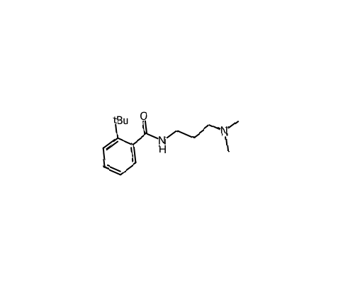 CN(C)CCCNC(=O)c1ccccc1C(C)(C)C